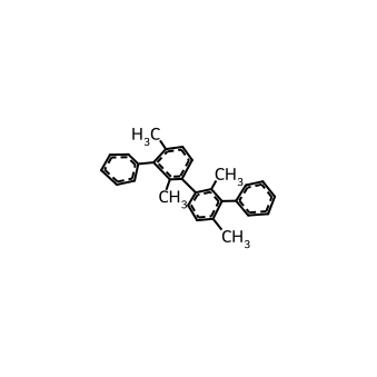 Cc1ccc(-c2ccc(C)c(-c3ccccc3)c2C)c(C)c1-c1ccccc1